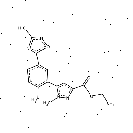 CCOC(=O)c1cc(-c2cc(-c3nc(C)no3)ccc2C)n(C)n1